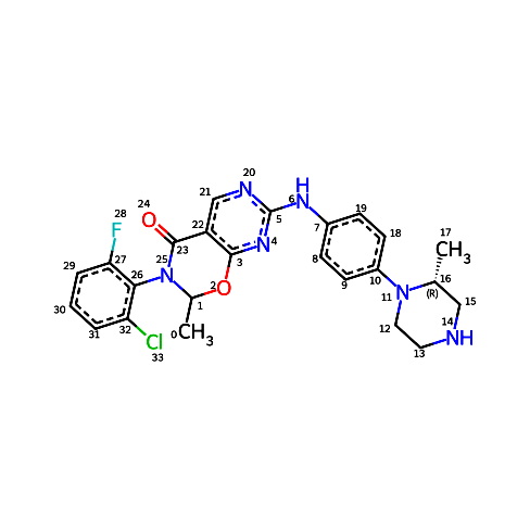 CC1Oc2nc(Nc3ccc(N4CCNC[C@H]4C)cc3)ncc2C(=O)N1c1c(F)cccc1Cl